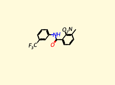 Cc1cccc(C(=O)Nc2cccc(C(F)(F)F)c2)c1[N+](=O)[O-]